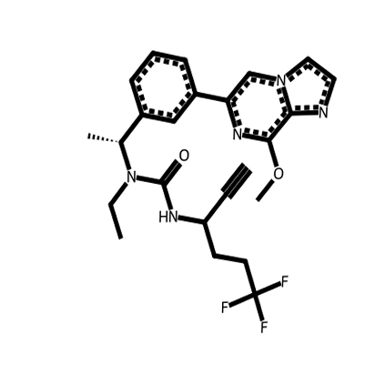 C#CC(CCC(F)(F)F)NC(=O)N(CC)[C@H](C)c1cccc(-c2cn3ccnc3c(OC)n2)c1